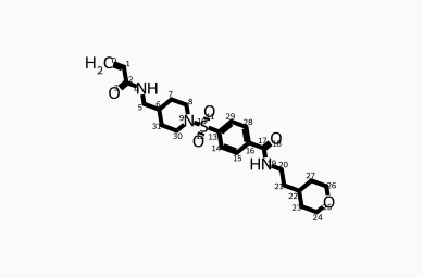 C=CC(=O)NCC1CCN(S(=O)(=O)c2ccc(C(=O)NCCC3CCOCC3)cc2)CC1